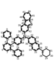 c1ccc(-c2cccc(-c3ccccc3)c2-c2ccc(N(c3ccc4cc(C5CCCCC5)ccc4c3)c3ccc4c(c3)sc3ccccc34)cc2)cc1